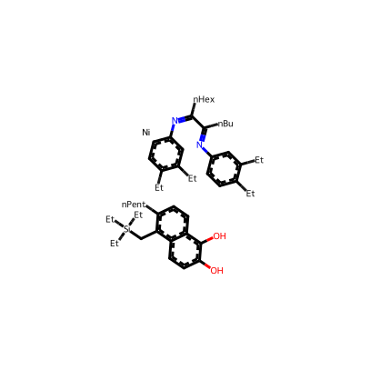 CCCCCCC(=Nc1ccc(CC)c(CC)c1)C(CCCC)=Nc1ccc(CC)c(CC)c1.CCCCCc1ccc2c(O)c(O)ccc2c1C[Si](CC)(CC)CC.[Ni]